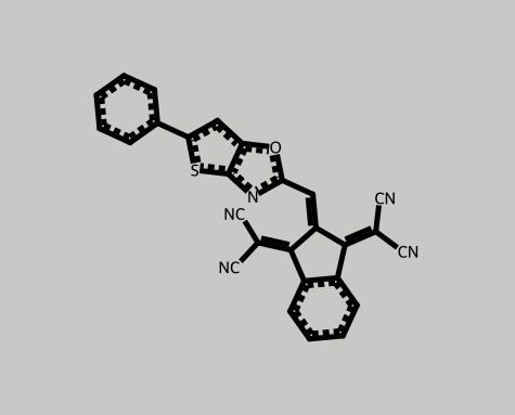 N#CC(C#N)=C1C(=Cc2nc3sc(-c4ccccc4)cc3o2)C(=C(C#N)C#N)c2ccccc21